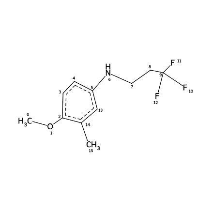 COc1ccc(NCCC(F)(F)F)cc1C